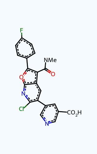 CNC(=O)c1c(-c2ccc(F)cc2)oc2nc(Cl)c(-c3cncc(C(=O)O)c3)cc12